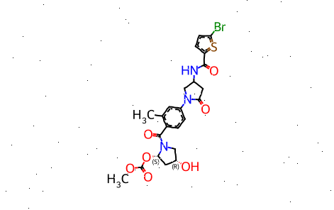 COC(=O)O[C@H]1C[C@@H](O)CN1C(=O)c1ccc(N2CC(NC(=O)c3ccc(Br)s3)CC2=O)cc1C